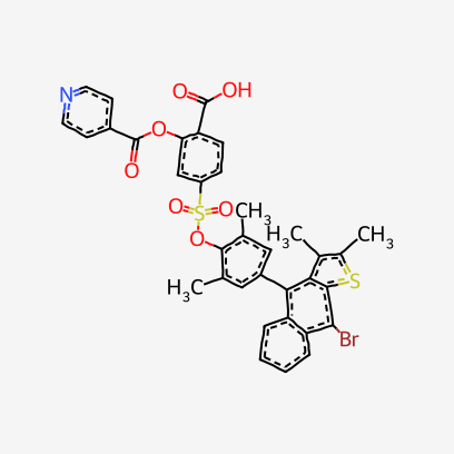 Cc1cc(-c2c3ccccc3c(Br)c3sc(C)c(C)c23)cc(C)c1OS(=O)(=O)c1ccc(C(=O)O)c(OC(=O)c2ccncc2)c1